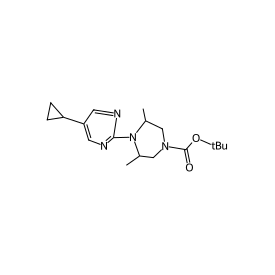 CC1CN(C(=O)OC(C)(C)C)CC(C)N1c1ncc(C2CC2)cn1